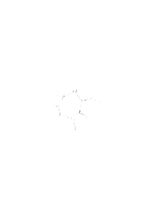 CC1NC(C)(C)C(C)C(C)N(C)C1=O